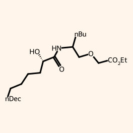 CCCCCCCCCCCCCC[C@H](O)C(=O)NC(CCCC)COCC(=O)OCC